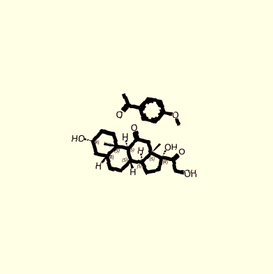 COc1ccc(C(C)=O)cc1.C[C@]12CC[C@@H](O)C[C@H]1CC[C@@H]1[C@@H]2C(=O)C[C@@]2(C)[C@H]1CC[C@]2(O)C(=O)CO